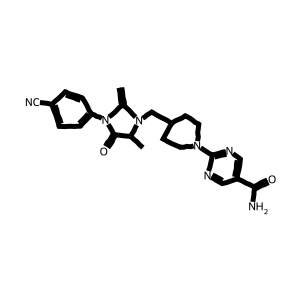 C=C1N(c2ccc(C#N)cc2)C(=O)C(C)N1CC1CCN(c2ncc(C(N)=O)cn2)CC1